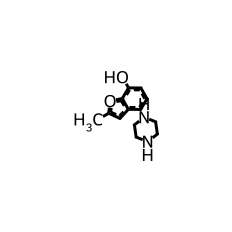 C1CNCCN1.Cc1cc2cccc(O)c2o1